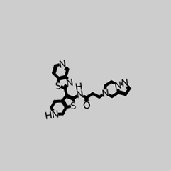 O=C(CCN1CCn2nccc2C1)Nc1sc2c(c1-c1nc3cnccc3s1)CCNC2